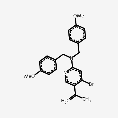 C=C(C)c1cnc(N(Cc2ccc(OC)cc2)Cc2ccc(OC)cc2)cc1Br